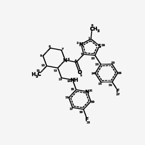 Cc1nc(C(=O)N2CCCC(C)C2CNc2ccc(F)cn2)c(-c2ccc(F)cc2)s1